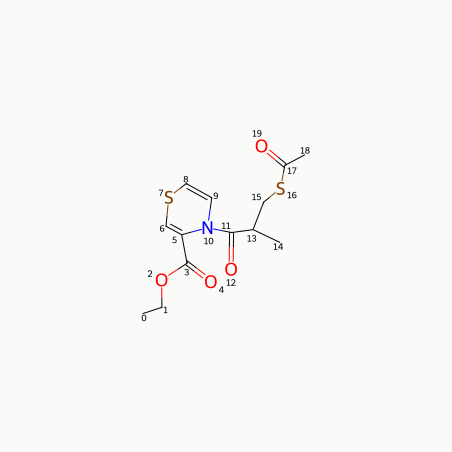 CCOC(=O)C1=CSC=CN1C(=O)C(C)CSC(C)=O